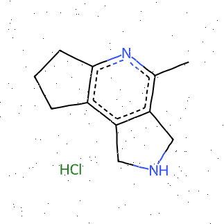 Cc1nc2c(c3c1CNC3)CCC2.Cl